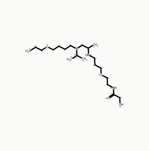 CC(CN(CCCCOCCN)C(C)C)NCCCOCCNC(=O)CO